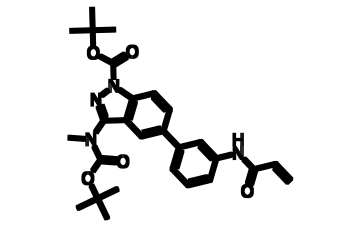 C=CC(=O)Nc1cccc(-c2ccc3c(c2)c(N(C)C(=O)OC(C)(C)C)nn3C(=O)OC(C)(C)C)c1